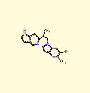 Cc1nc2ccn(CC(C)c3cc4[nH]ccc4cn3)c2cc1C(C)C